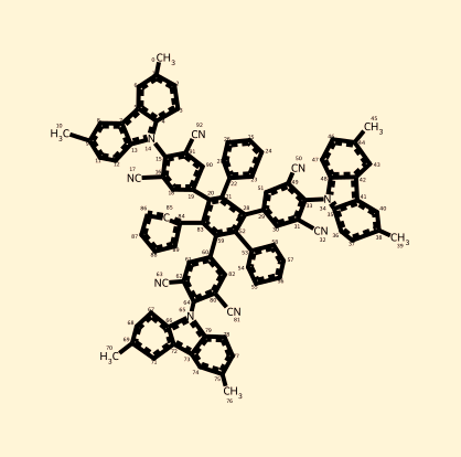 Cc1ccc2c(c1)c1cc(C)ccc1n2-c1c(C#N)cc(-c2c(-c3ccccc3)c(-c3cc(C#N)c(-n4c5ccc(C)cc5c5cc(C)ccc54)c(C#N)c3)c(-c3ccccc3)c(-c3cc(C#N)c(-n4c5ccc(C)cc5c5cc(C)ccc54)c(C#N)c3)c2-c2ccccc2)cc1C#N